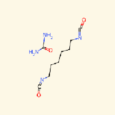 NC(N)=O.O=C=NCCCCCCN=C=O